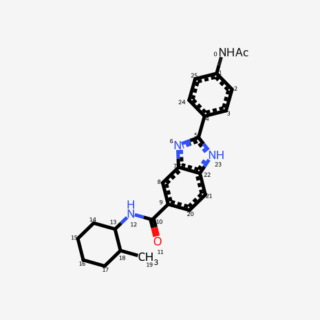 CC(=O)Nc1ccc(-c2nc3cc(C(=O)NC4CCCCC4C)ccc3[nH]2)cc1